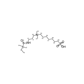 CCC(C)(C)C(=O)NCCC[N+](C)(C)CCCCCCCS(=O)(=O)O